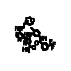 CNC(=O)c1cc(Nc2cc(NC(=O)c3cccc(C(F)(F)F)c3)ccc2C)n(-c2cc(NCCN3CCOCC3)ncn2)n1